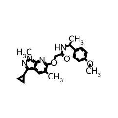 COc1ccc(C(C)NC(=O)COc2nc3c(cc2C)c(C2CC2)nn3C)cc1